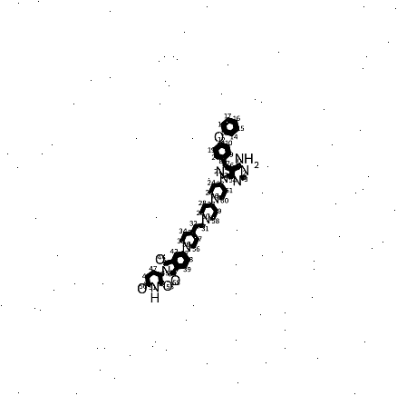 Nc1ncnc2c1c(-c1ccc(Oc3ccccc3)cc1)nn2C1CCN(C2CCN(CCC3CCN(c4ccc5c(c4)C(=O)N(C4CCC(=O)NC4=O)C5=O)CC3)CC2)CC1